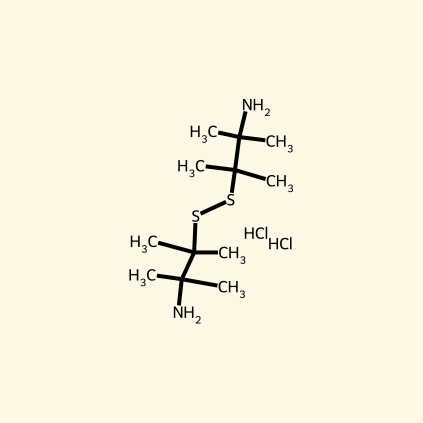 CC(C)(N)C(C)(C)SSC(C)(C)C(C)(C)N.Cl.Cl